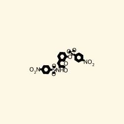 O=c1oc2c(OS(=O)(=O)c3ccc([N+](=O)[O-])cc3)cccc2cc1NS(=O)(=O)c1ccc([N+](=O)[O-])cc1